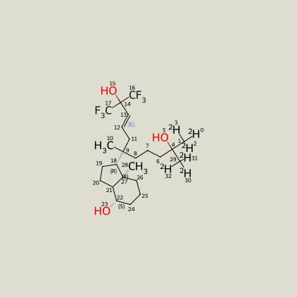 [2H]C([2H])([2H])C(O)(CCCC(C)(C/C=C/C(O)(C(F)(F)F)C(F)(F)F)[C@H]1CCC2[C@@H](O)CCC[C@@]21C)C([2H])([2H])[2H]